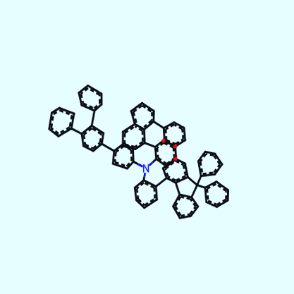 c1ccc(-c2ccc(-c3ccc(N(c4ccccc4-c4cccc5c4-c4ccccc4C5(c4ccccc4)c4ccccc4)c4ccccc4-c4cccc5cccc(-c6ccccc6)c45)cc3)cc2-c2ccccc2)cc1